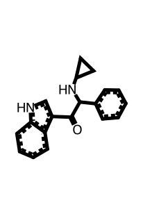 O=C(c1c[nH]c2ccccc12)C(NC1CC1)c1ccccc1